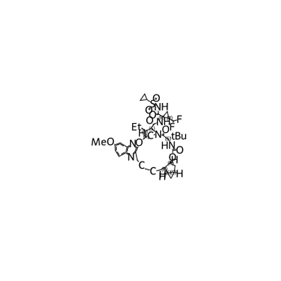 CC[C@@H]1[C@@H]2CN(C(=O)[C@H](C(C)(C)C)NC(=O)O[C@@H]3C[C@@H]4C[C@@H]4[C@H]3CCCCCc3nc4ccc(OC)cc4nc3O2)[C@@H]1C(=O)N[C@]1(C(=O)NS(=O)(=O)C2CC2)C[C@H]1C(F)F